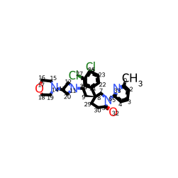 Cc1cccc(N2C[C@@](CCN3CC(N4CCOCC4)C3)(c3ccc(Cl)c(Cl)c3)CCC2=O)n1